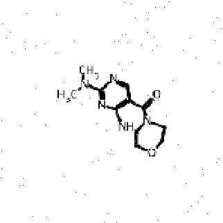 CN(C)c1ncc(C(=O)N2CCOCC2)c(N)n1